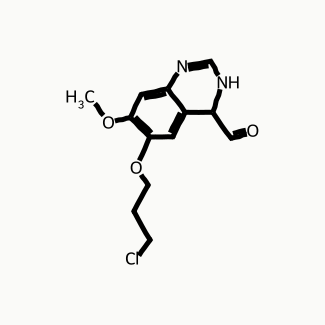 COc1cc2c(cc1OCCCCl)C(C=O)NC=N2